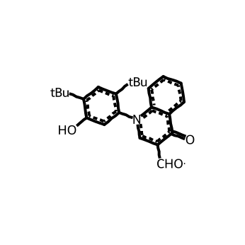 CC(C)(C)c1cc(C(C)(C)C)c(-n2cc([C]=O)c(=O)c3ccccc32)cc1O